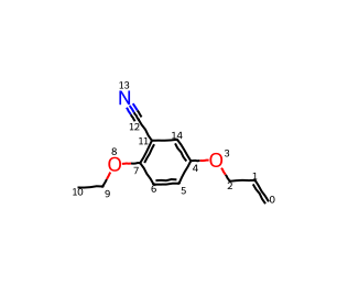 C=CCOc1ccc(OCC)c(C#N)c1